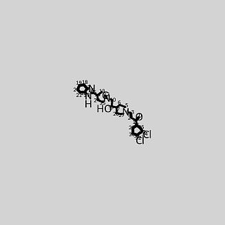 O=C(C=CN1CCC(C(O)CN2CCC(c3nc4ccccc4[nH]3)CC2)CC1)c1ccc(Cl)c(Cl)c1